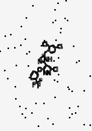 FC(F)(F)c1cccc(Oc2nnc(Cl)cc2C2=NC[C@@H](Cc3ccc(Cl)cc3Cl)N2)c1